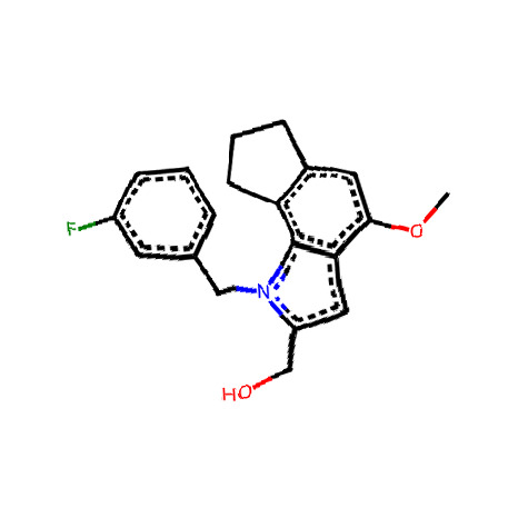 COc1cc2c(c3c1cc(CO)n3Cc1cccc(F)c1)CCC2